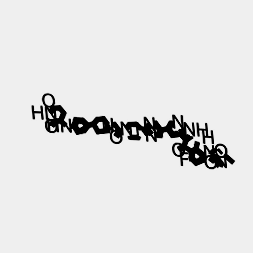 CCN(C)S(=O)(=O)Nc1ccc(F)c(C(=O)c2c[nH]c3ncc(-c4cnc(N5CCN(C(=O)CN6CCC(c7ccc(NC8CCC(=O)NC8=O)cc7)CC6)CC5)nc4)cc23)c1C